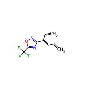 C=C/C=C(\C=C)c1noc(C(F)(F)F)n1